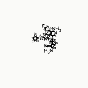 C[C@H](c1cccnc1N)N(CC(F)F)c1nc(OC[C@@H]2CCCN2C)nc(N2CC3(C2)SCc2sc(N)c(C#N)c23)n1